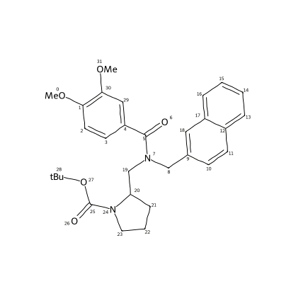 COc1ccc(C(=O)N(Cc2ccc3ccccc3c2)CC2CCCN2C(=O)OC(C)(C)C)cc1OC